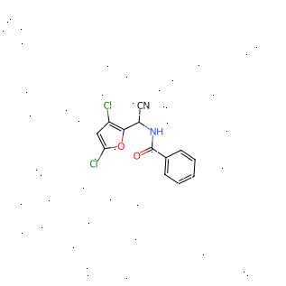 N#CC(NC(=O)c1ccccc1)c1oc(Cl)cc1Cl